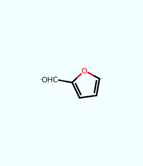 O=[C]c1cc[c]o1